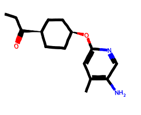 CCC(=O)[C@H]1CC[C@@H](Oc2cc(C)c(N)cn2)CC1